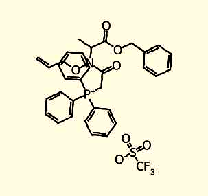 C=CCON(C(=O)C[P+](c1ccccc1)(c1ccccc1)c1ccccc1)C(C)C(=O)OCc1ccccc1.O=S(=O)([O-])C(F)(F)F